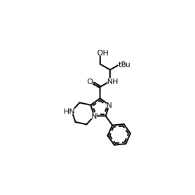 CC(C)(C)C(CO)NC(=O)c1nc(-c2ccccc2)n2c1CNCC2